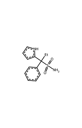 CCC(c1ccccc1)(c1ccc[nH]1)S(N)(=O)=O